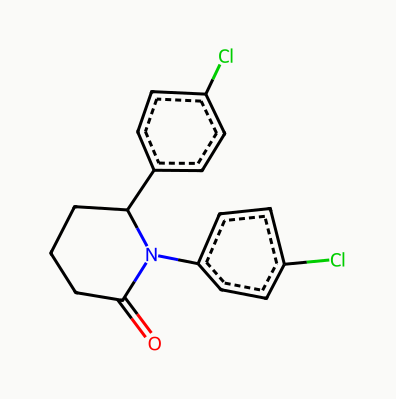 O=C1CCCC(c2ccc(Cl)cc2)N1c1ccc(Cl)cc1